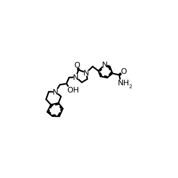 NC(=O)c1ccc(CN2CCN(CC(O)CN3CCc4ccccc4C3)C2=O)nc1